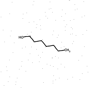 CCCCCC[C]O